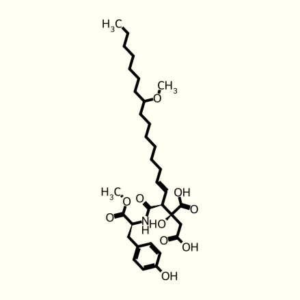 CCCCCCCC(CCCCCC/C=C/[C@H](C(=O)N[C@@H](Cc1ccc(O)cc1)C(=O)OC)[C@@](O)(CC(=O)O)C(=O)O)OC